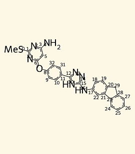 CSc1nc(N)cc(Oc2ccc(-c3nnc(Nc4ccc5c(c4)-c4ccccc4C5)[nH]3)cc2)n1